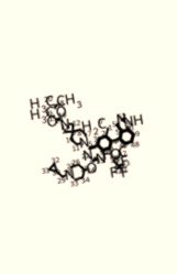 C=Cc1cc2c(N3CCC4(CC3)CN(C(=O)OC(C)(C)C)C4)nc(OC3CCN(CC4CC4)CC3)nc2c(OCC(F)(F)F)c1-c1c(C)ccc2[nH]ncc12